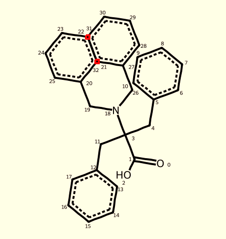 O=C(O)C(Cc1ccccc1)(Cc1ccccc1)N(Cc1ccccc1)Cc1ccccc1